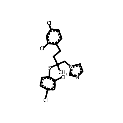 CC(CCc1ccc(Cl)cc1Cl)(Cn1ccnc1)Sc1ccc(Cl)cc1Cl